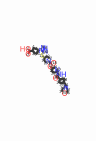 O=C(O)c1ccc(-n2nnnc2SC2CCN(C(=O)Oc3ccc(NC(=O)c4ccc(CN5CCOCC5)cc4)nc3)CC2)cc1